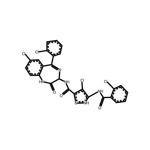 O=C(Nc1[nH]nc(C(=O)NC2N=C(c3ccccc3Cl)c3cc(Cl)ccc3NC2=O)c1Cl)c1ccccc1Cl